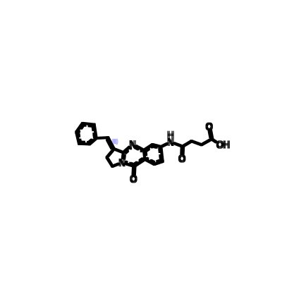 O=C(O)CCC(=O)Nc1ccc2c(=O)n3c(nc2c1)/C(=C/c1ccccc1)CC3